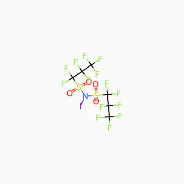 O=S(=O)(N(I)S(=O)(=O)C(F)(F)C(F)(F)C(F)(F)F)C(F)(F)C(F)(F)C(F)(F)F